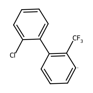 FC(F)(F)c1[c]cccc1-c1ccccc1Cl